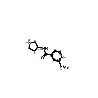 CNc1cc(C(=O)NC2CCNC2)ccn1